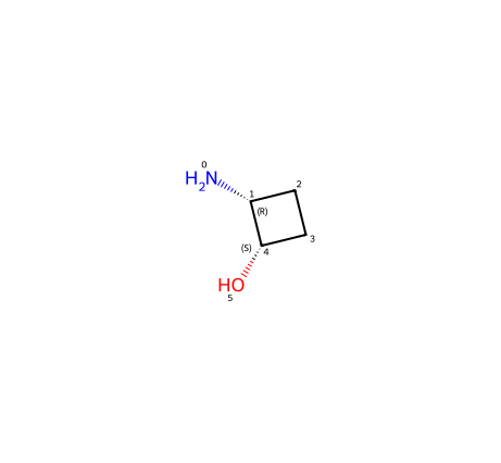 N[C@@H]1CC[C@@H]1O